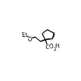 CCOCCC1(C(=O)O)CCCC1